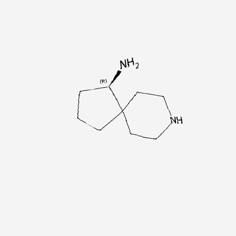 N[C@@H]1CCCC12CCNCC2